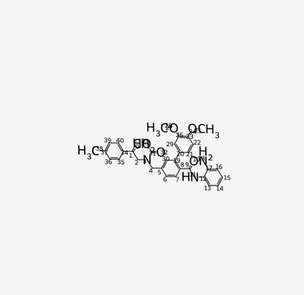 C=C(CN(Cc1ccc(C(=O)Nc2ccccc2N)c(-c2ccc(OC)c(OC)c2)c1)C(=O)O)c1ccc(C)cc1